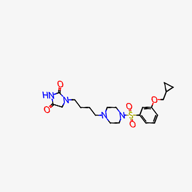 O=C1CN(CCCCN2CCN(S(=O)(=O)c3cccc(OCC4CC4)c3)CC2)C(=O)N1